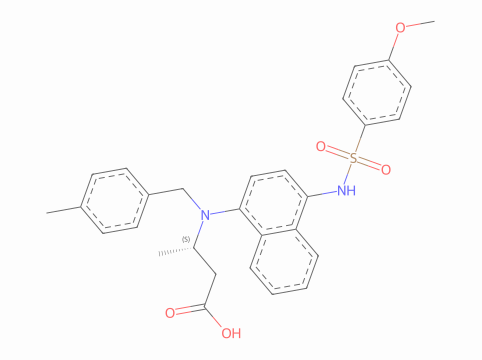 COc1ccc(S(=O)(=O)Nc2ccc(N(Cc3ccc(C)cc3)[C@@H](C)CC(=O)O)c3ccccc23)cc1